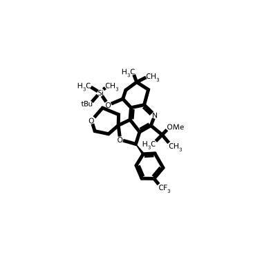 COC(C)(C)c1nc2c(c3c1[C@@H](c1ccc(C(F)(F)F)cc1)OC31CCOCC1)C(O[Si](C)(C)C(C)(C)C)CC(C)(C)C2